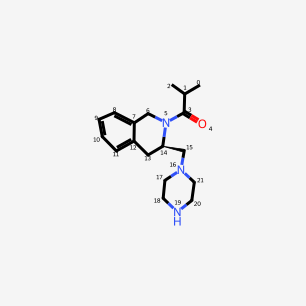 CC(C)C(=O)N1Cc2ccccc2C[C@@H]1CN1CCNCC1